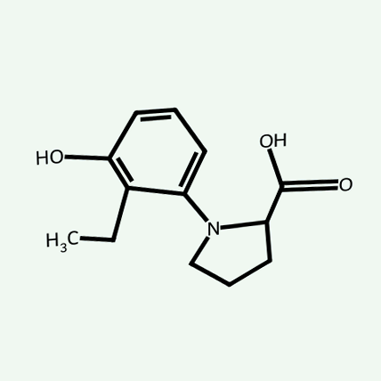 CCc1c(O)cccc1N1CCCC1C(=O)O